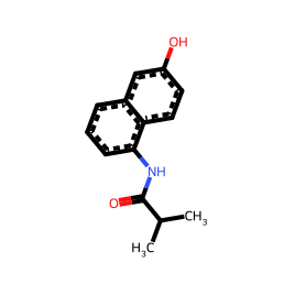 CC(C)C(=O)Nc1cccc2cc(O)ccc12